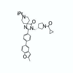 Cc1cc2cc(-c3ccc(C4=NC5(CCN(C(C)C)CC5)C(=O)N4C[C@@H]4CCN(C(=O)C5CC5)C4)cc3)ccc2o1